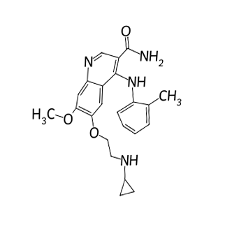 COc1cc2ncc(C(N)=O)c(Nc3ccccc3C)c2cc1OCCNC1CC1